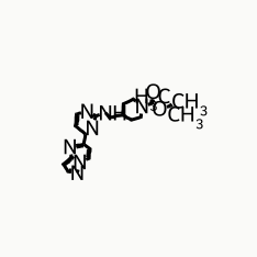 CC(C)(C)OC(=O)N1CCC(CNc2nccc(-c3ccn4nccc4n3)n2)CC1